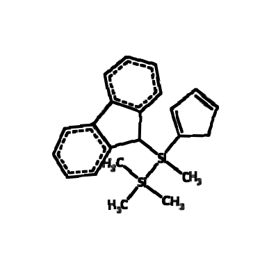 C[Si](C)(C)[Si](C)(C1=CC=CC1)C1c2ccccc2-c2ccccc21